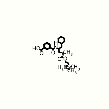 CN(CC(CC1CCCCC1)NC(=O)c1cccc(C(=O)O)c1)C(=O)OCC[Si](C)(C)C